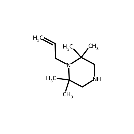 C=CCN1C(C)(C)CNCC1(C)C